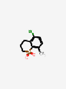 O=S1(=O)CCCc2c(Br)ccc(C(F)(F)F)c21